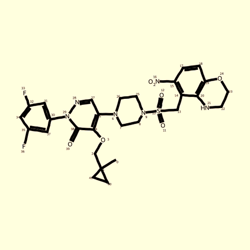 CC1(COc2c(N3CCN(S(=O)(=O)Cc4c([N+](=O)[O-])ccc5c4NCCO5)CC3)cnn(-c3cc(F)cc(F)c3)c2=O)CC1